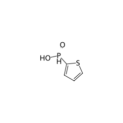 O=[PH](O)c1cccs1